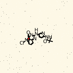 CC(C)(C)C(=O)Nc1ccc(NC2=NCC34CC(=O)CCN(Cl)C3=CC=CC4=N2)cn1